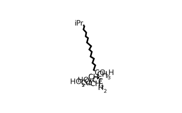 C=C(C)C(=O)O.C=C(C)C(=O)O.CC(C)CCCCCCCCCCCCCCC(=O)O.[Cu]